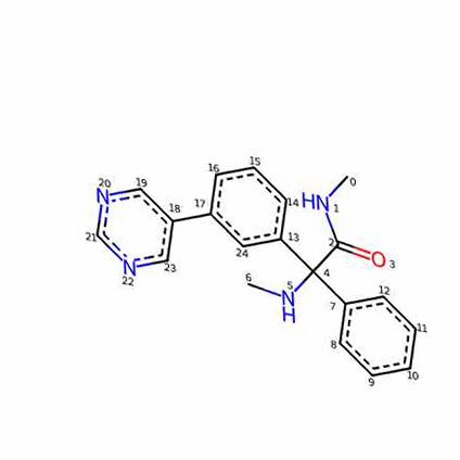 CNC(=O)C(NC)(c1ccccc1)c1cccc(-c2cncnc2)c1